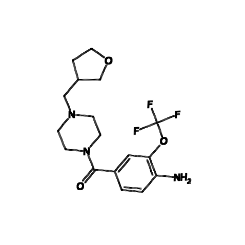 Nc1ccc(C(=O)N2CCN(CC3CCOC3)CC2)cc1OC(F)(F)F